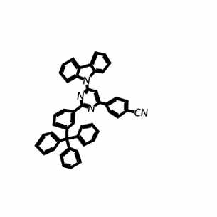 N#Cc1ccc(-c2cc(-n3c4ccccc4c4ccccc43)nc(-c3cccc(C(c4ccccc4)(c4ccccc4)c4ccccc4)c3)n2)cc1